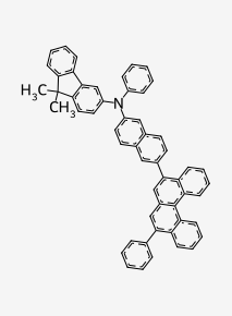 CC1(C)c2ccccc2-c2cc(N(c3ccccc3)c3ccc4cc(-c5cc6cc(-c7ccccc7)c7ccccc7c6c6ccccc56)ccc4c3)ccc21